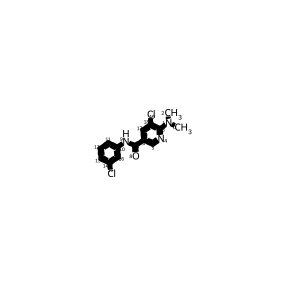 CN(C)c1ncc(C(=O)Nc2cccc(Cl)c2)cc1Cl